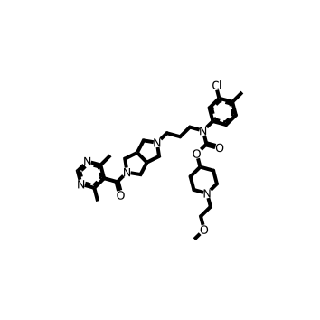 COCCN1CCC(OC(=O)N(CCCN2CC3CN(C(=O)c4c(C)ncnc4C)CC3C2)c2ccc(C)c(Cl)c2)CC1